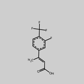 CC(=CC(=O)O)c1ccc(C(F)(F)F)c(F)c1